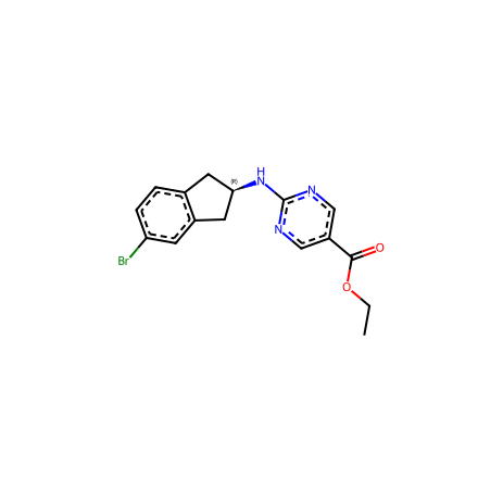 CCOC(=O)c1cnc(N[C@@H]2Cc3ccc(Br)cc3C2)nc1